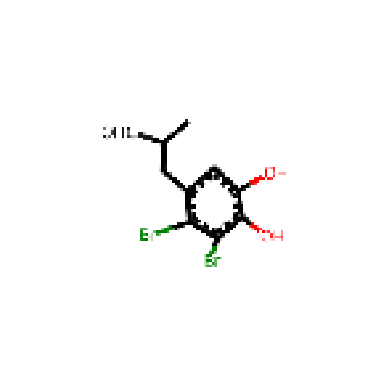 CC(C=O)Cc1cc(O)c(O)c(Br)c1Br